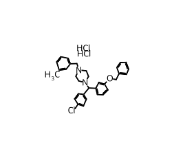 Cc1cccc(CN2CCN(C(c3ccc(Cl)cc3)c3cccc(OCc4ccccc4)c3)CC2)c1.Cl.Cl